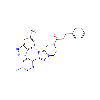 Cc1cc(-c2c(-c3ccc(F)cn3)nn3c2CN(C(=O)OCc2ccccc2)CC3)c2cn[nH]c2n1